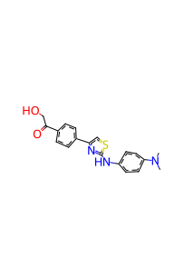 CN(C)c1ccc(Nc2nc(-c3ccc(C(=O)CO)cc3)cs2)cc1